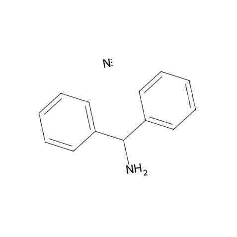 NC(c1ccccc1)c1ccccc1.[N]